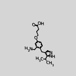 CC(C)c1[nH]ncc1Cc1ccc(OCCCC(=O)O)cc1CN